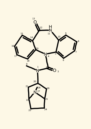 CN(C(=O)N1c2ccccc2NC(=O)c2ccccc21)C1CC2CCC(C1)N2C